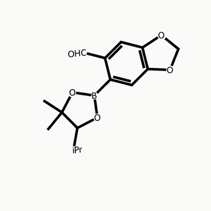 CC(C)C1OB(c2cc3c(cc2C=O)OCO3)OC1(C)C